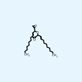 CCCCCCCCC=CC(OC(C=CCCCCCCCC)C1CO1)C1CO1